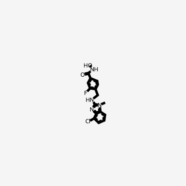 Cn1c(NCc2ccc(C(=O)NO)cc2F)nc2c(Cl)cccc21